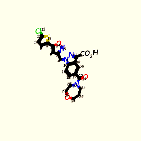 O=C(O)c1nn(Cc2cc(-c3ccc(Cl)s3)on2)c2ccc(C(=O)N3CCCOCC3)cc12